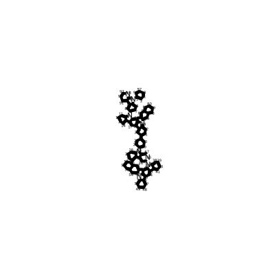 c1ccc(-n2c3ccc(-n4c5ccccc5c5cc6c7cc(-c8ccc(-n9c%10ccccc%10c%10cc(-n%11c%12ccccc%12c%12cc%13c%14ccccc%14n%14c%15cc%16ccccc%16cc%15c(c%12%11)c%13%14)ncc%109)cc8)ccc7n7c8cc9ccccc9cc8c(c54)c67)cc3c3cccnc32)cc1